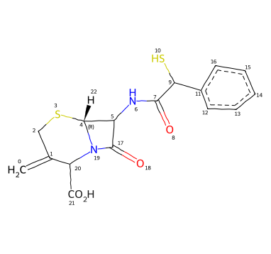 C=C1CS[C@@H]2C(NC(=O)C(S)c3ccccc3)C(=O)N2C1C(=O)O